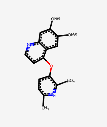 COc1cc2nccc(Oc3ccc(C)nc3[N+](=O)[O-])c2cc1OC